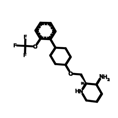 NC1CCCN[C@H]1COC1CCC(c2ccccc2OC(F)(F)F)CC1